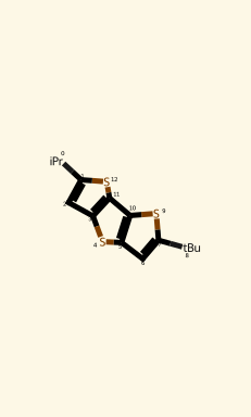 CC(C)c1cc2sc3cc(C(C)(C)C)sc3c2s1